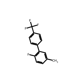 Cc1ccc(F)c(-c2ccc(C(F)(F)F)cc2)c1